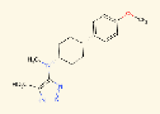 CN(c1nn[nH]c1C(=O)O)[C@H]1CC[C@@H](c2ccc(OC(F)(F)F)cc2)CC1